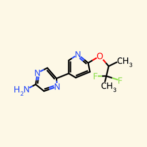 CC(Oc1ccc(-c2cnc(N)cn2)cn1)C(C)(F)F